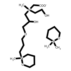 C[N+](CCO)(CC(=O)[O-])CC(O)COCCC[Si]1(C)CCCCO1.C[Si]1(C)CCCCO1